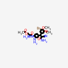 COc1cc(C2C(C#N)=C(N)Oc3c2ccc(NC(=O)C(N)COC(C)=O)c3N)cc(Br)c1OC